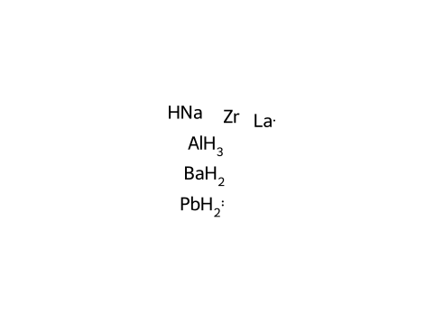 [AlH3].[BaH2].[La].[NaH].[PbH2].[Zr]